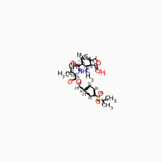 C=C1COB(O)/C1=C(C)/C(=C\C)C(=O)N[C@H](C(=O)OCc1ccc(S(=O)(=O)C(C)C)cc1)C(C)C